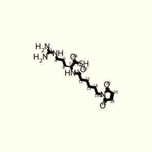 NC(N)NCCC[C@H](NC(=O)CCCCCN1C(=O)C=CC1=O)C(=O)S